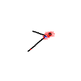 CCCCCCCCCCCCCCCCCCCCCCCCC(O)C(=O)N[C@@H](COP(=O)(O)OC1C(O)C(O)C(O)[C@@H](O)C1O)[C@H](O)CCCCCCCCCCCCCCC